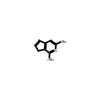 CC(C)(C)c1cc2c(c(C(C)(C)C)n1)CC=C2